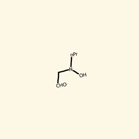 CCCN(O)C[C]=O